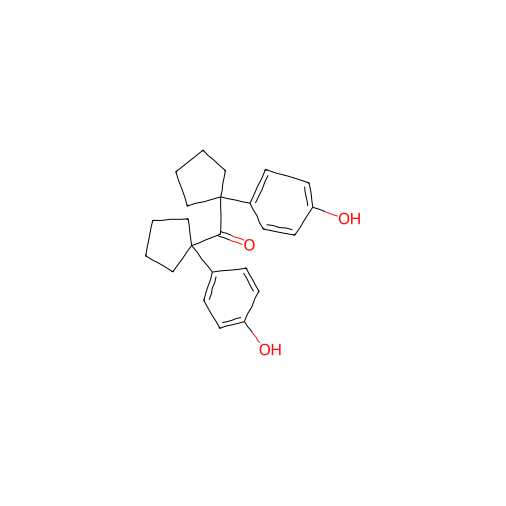 O=C(C1(c2ccc(O)cc2)CCCC1)C1(c2ccc(O)cc2)CCCC1